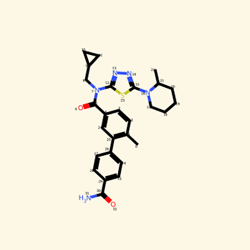 Cc1ccc(C(=O)N(CC2CC2)c2nnc(N3CCCCC3C)s2)cc1-c1ccc(C(N)=O)cc1